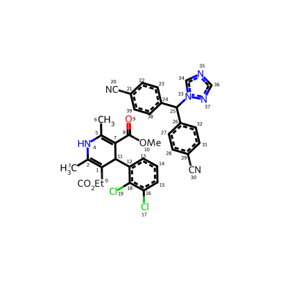 CCOC(=O)C1=C(C)NC(C)=C(C(=O)OC)C1c1cccc(Cl)c1Cl.N#Cc1ccc(C(c2ccc(C#N)cc2)n2cncn2)cc1